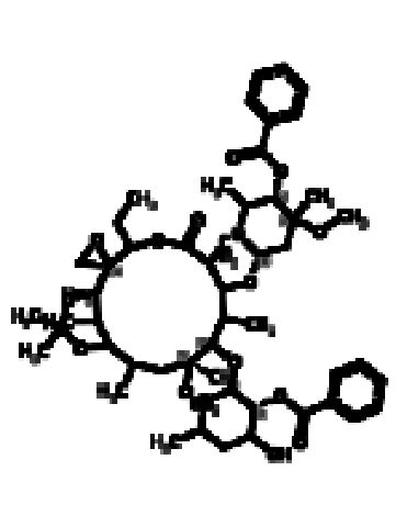 CCC1OC(=O)C(C)C(O[C@H]2C[C@@](C)(OC)[C@@H](OC(=O)c3ccccc3)C(C)O2)C(C)[C@@H](OC2OC(C)CC(O)[C@H]2OC(=O)c2ccccc2)[C@@](C)(OC)CC(C)C2OC(C)(C)O[C@H](C2C)[C@@]12CO2